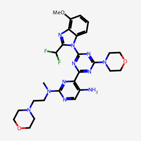 COc1cccc2c1nc(C(F)F)n2-c1nc(-c2nc(N(C)CCN3CCOCC3)ncc2N)nc(N2CCOCC2)n1